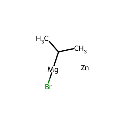 C[CH](C)[Mg][Br].[Zn]